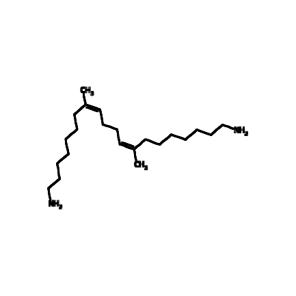 CC(=CCCC=C(C)CCCCCCCN)CCCCCCCN